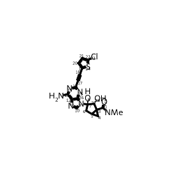 CNC(=O)C12CC1C[C@](O)(n1cnc3c(N)nc(C#Cc4ccc(Cl)s4)nc31)[C@@H]2O